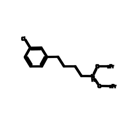 CCCO[SiH](CCCCc1cccc(Cl)c1)OCCC